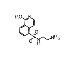 NCCNS(=O)(=O)c1cccc2c(O)nccc12